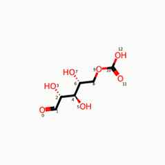 O=C[C@H](O)[C@H](O)[C@H](O)COC(=O)O